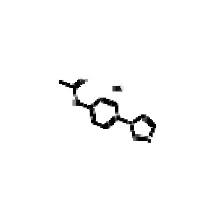 CC(=O)Nc1ccc(-n2ccnc2)cc1.Cl